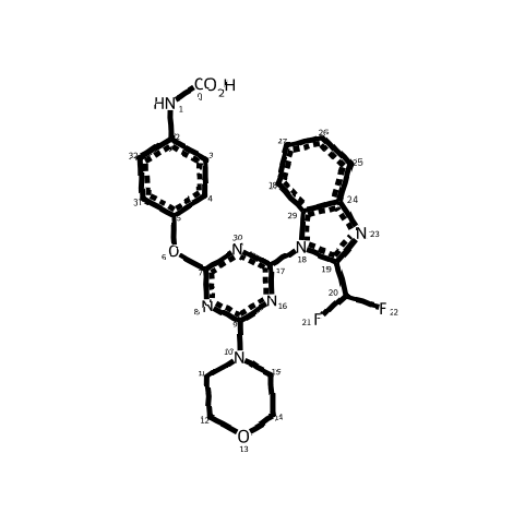 O=C(O)Nc1ccc(Oc2nc(N3CCOCC3)nc(-n3c(C(F)F)nc4ccccc43)n2)cc1